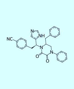 N#Cc1ccc(C[C@@H](c2cnc[nH]2)N2C(=O)C(=O)N(c3ccccc3)CC2Cc2ccccc2)cc1